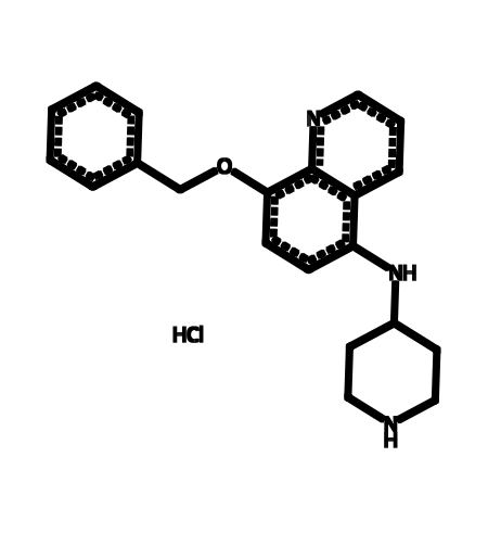 Cl.c1ccc(COc2ccc(NC3CCNCC3)c3cccnc23)cc1